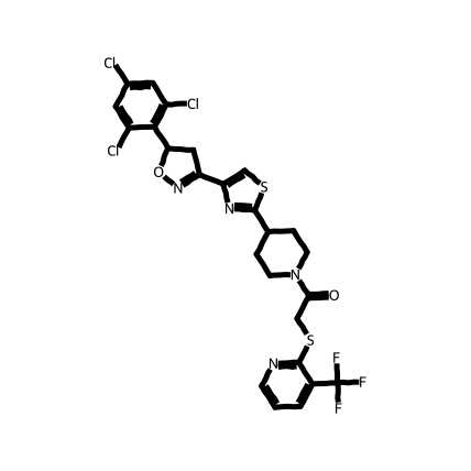 O=C(CSc1ncccc1C(F)(F)F)N1CCC(c2nc(C3=NOC(c4c(Cl)cc(Cl)cc4Cl)C3)cs2)CC1